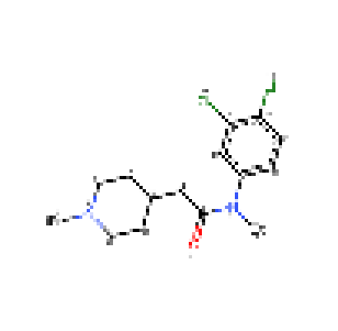 CCN(C(=O)CC1CCN(C(C)C)CC1)c1ccc(Cl)c(Cl)c1